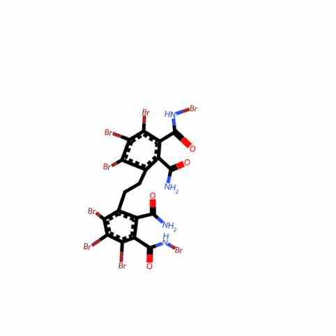 NC(=O)c1c(CCc2c(Br)c(Br)c(Br)c(C(=O)NBr)c2C(N)=O)c(Br)c(Br)c(Br)c1C(=O)NBr